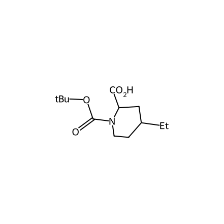 CCC1CCN(C(=O)OC(C)(C)C)C(C(=O)O)C1